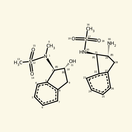 CN([C@@H]1c2ccccc2C[C@H]1O)S(C)(=O)=O.CS(=O)(=O)N[C@@H]1c2ccccc2C[C@H]1N